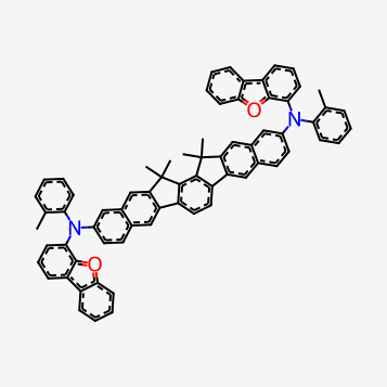 Cc1ccccc1N(c1ccc2cc3c(cc2c1)C(C)(C)c1c-3ccc2c1C(C)(C)c1cc3cc(N(c4ccccc4C)c4cccc5c4oc4ccccc45)ccc3cc1-2)c1cccc2c1oc1ccccc12